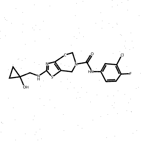 O=C(Nc1ccc(F)c(Cl)c1)N1CCc2nc(NCC3(O)CC3)sc2C1